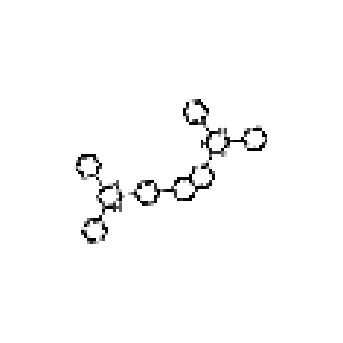 c1ccc(-c2cc(-c3ccccc3)nc(-c3ccc(-c4ccc5ccc(-c6nc(-c7ccccc7)nc(-c7ccccc7)n6)cc5c4)cc3)n2)cc1